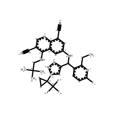 CCc1nc(F)ccc1C(Nc1cc(C#N)c2ncc(C#N)c(NCC(C)(C)C)c2c1)c1cn(C2(C(F)(F)F)CC2)nn1